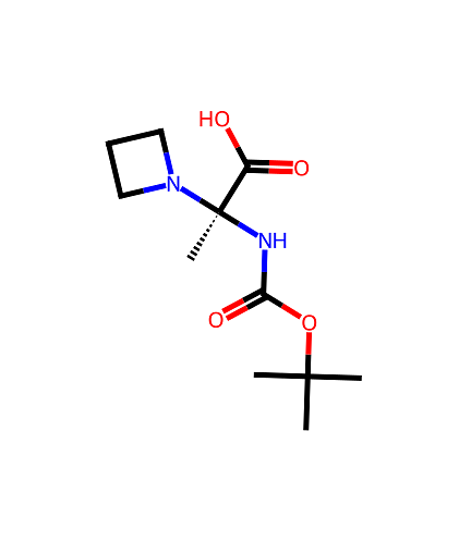 CC(C)(C)OC(=O)N[C@](C)(C(=O)O)N1CCC1